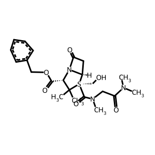 CN(C)C(=O)CN(C)C(=O)[S@]1(CO)[C@@H]2CC(=O)N2[C@@H](C(=O)OCc2ccccc2)C1(C)C